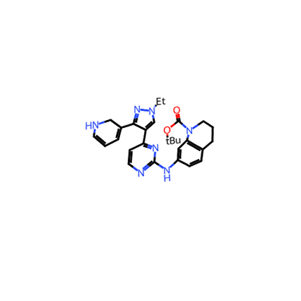 CCn1cc(-c2ccnc(Nc3ccc4c(c3)N(C(=O)OC(C)(C)C)CCC4)n2)c(C2=CC=CNC2)n1